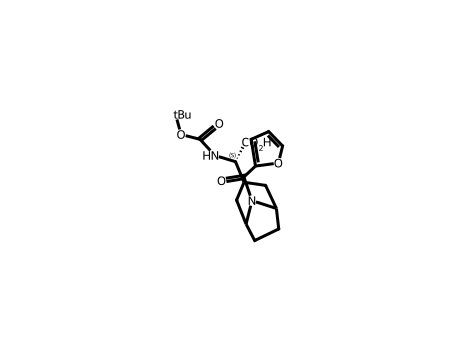 CC(C)(C)OC(=O)N[C@H](C(=O)O)C1CC2CCC(C1)N2C(=O)c1ccco1